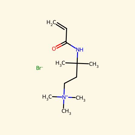 C=CC(=O)NC(C)(C)CC[N+](C)(C)C.[Br-]